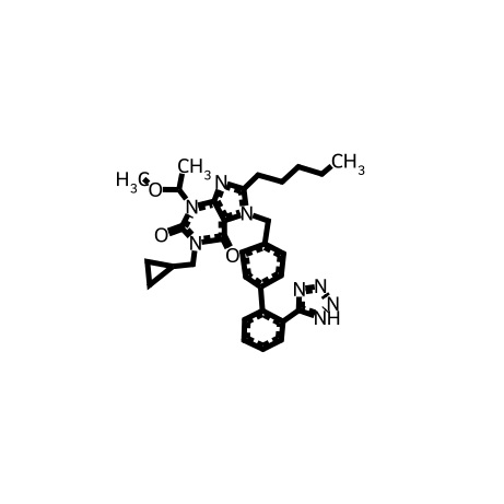 CCCCCc1nc2c(c(=O)n(CC3CC3)c(=O)n2C(C)OC)n1Cc1ccc(-c2ccccc2-c2nnn[nH]2)cc1